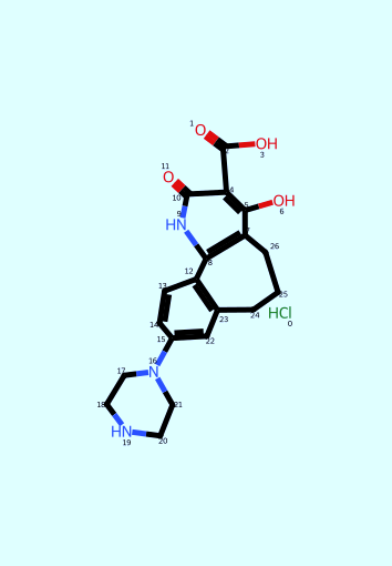 Cl.O=C(O)c1c(O)c2c([nH]c1=O)-c1ccc(N3CCNCC3)cc1CCC2